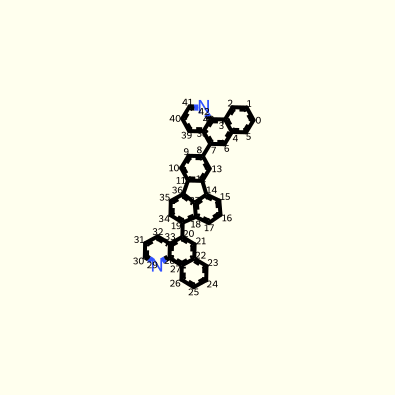 c1ccc2c(c1)cc(-c1ccc3c(c1)-c1cccc4c(-c5cc6ccccc6c6ncccc56)ccc-3c14)c1cccnc12